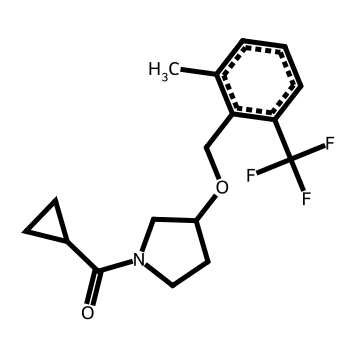 Cc1cccc(C(F)(F)F)c1COC1CCN(C(=O)C2CC2)C1